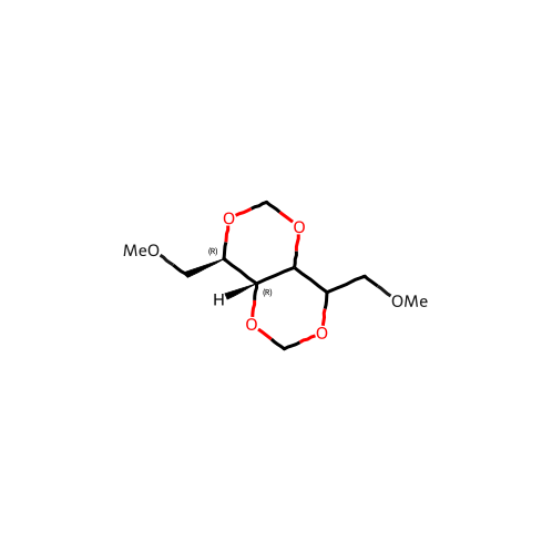 COCC1OCO[C@H]2C1OCO[C@@H]2COC